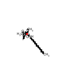 CCCCCCCCCCCCCCCCCCNC(=O)OCC(COC)CN(C(C)=O)S(=O)(=O)CCCI